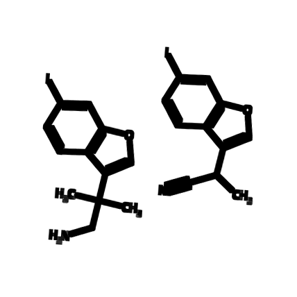 CC(C#N)c1coc2cc(I)ccc12.CC(C)(CN)c1coc2cc(I)ccc12